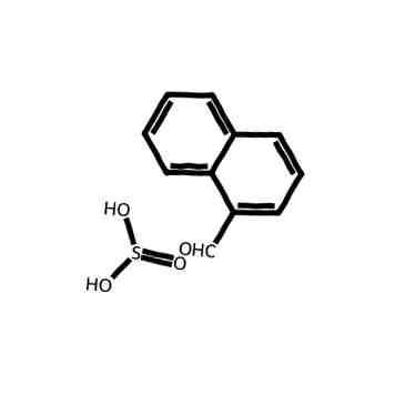 O=Cc1cccc2ccccc12.O=S(O)O